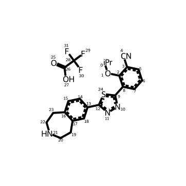 CC(C)Oc1c(C#N)cccc1-c1nnc(-c2ccc3c(c2)CCNCC3)s1.O=C(O)C(F)(F)F